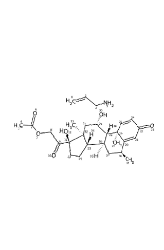 C=CCN.CC(=O)OCC(=O)[C@@]1(O)CC[C@H]2[C@@H]3C[C@H](C)C4=CC(=O)C=C[C@]4(C)[C@H]3[C@@H](O)C[C@@]21C